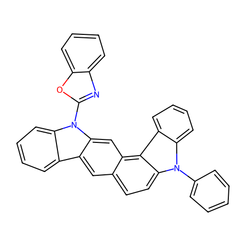 c1ccc(-n2c3ccccc3c3c4cc5c(cc4ccc32)c2ccccc2n5-c2nc3ccccc3o2)cc1